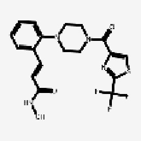 O=C(C=Cc1ccccc1N1CCN(C(=O)c2csc(C(F)(F)F)n2)CC1)NO